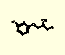 CCC(O)COc1cccc(F)c1